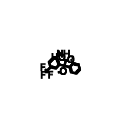 COC(C(=O)O)(c1ccccc1)c1cccc(C(F)(F)F)c1.N